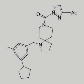 CC(=O)c1ccn(C(=O)N2CCC3(CCCN3Cc3cc(C)cc(C4CCCC4)c3)CC2)n1